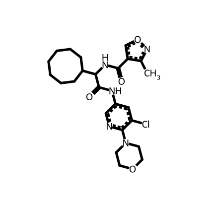 Cc1nocc1C(=O)NC(C(=O)Nc1cnc(N2CCOCC2)c(Cl)c1)C1CCCCCCC1